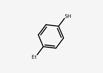 CCc1ccc(S)cc1